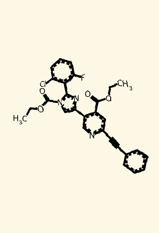 CCOC(=O)c1cc(C#Cc2ccccc2)ncc1-c1cn(C(=O)OCC)c(-c2c(F)cccc2Cl)n1